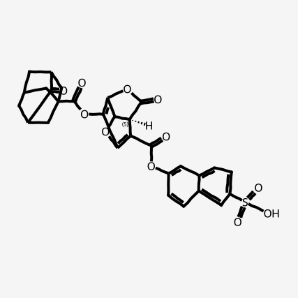 O=C(Oc1ccc2cc(S(=O)(=O)O)ccc2c1)C1=C2OC3C(=C2OC(=O)C24CC5CC(C2)C(=O)C(C5)C4)OC(=O)[C@@H]13